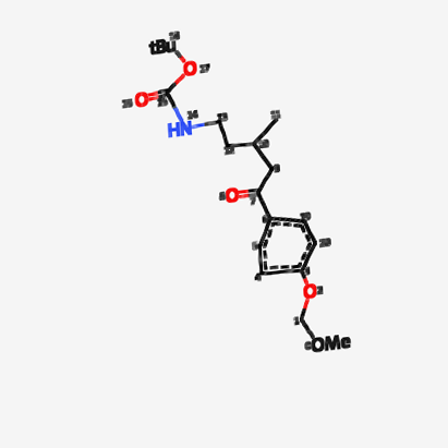 COCOc1ccc(C(=O)CC(C)CCNC(=O)OC(C)(C)C)cc1